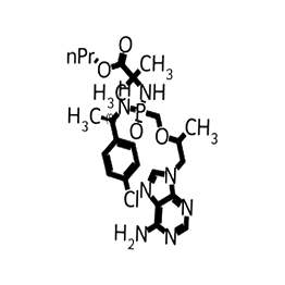 CCCOC(=O)C(C)(C)NP(=O)(COC(C)Cn1cnc2c(N)ncnc21)N[C@H](C)c1ccc(Cl)cc1